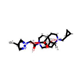 CC(C)(C)c1cnn(CC(=O)N2CC[C@]34CCN(CC5CC5)[C@H](Cc5ccc(O)cc53)[C@]4(O)CC2)c1